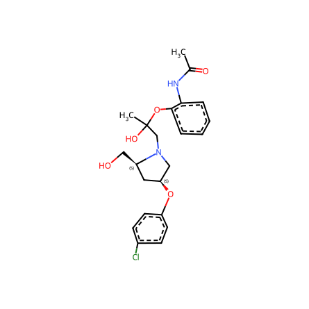 CC(=O)Nc1ccccc1OC(C)(O)CN1C[C@@H](Oc2ccc(Cl)cc2)C[C@H]1CO